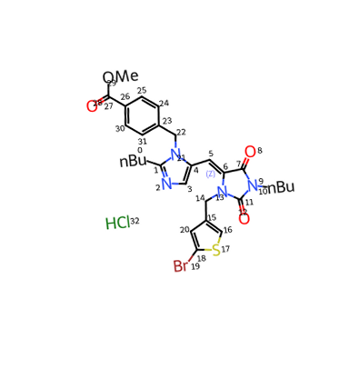 CCCCc1ncc(/C=C2/C(=O)N(CCCC)C(=O)N2Cc2csc(Br)c2)n1Cc1ccc(C(=O)OC)cc1.Cl